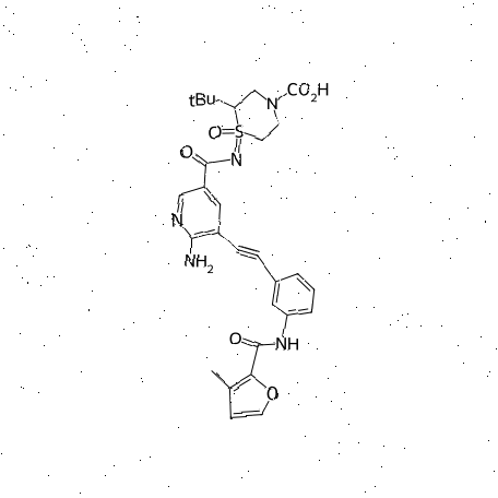 Cc1ccoc1C(=O)Nc1cccc(C#Cc2cc(C(=O)N=S3(=O)CCN(C(=O)O)CC3C(C)(C)C)cnc2N)c1